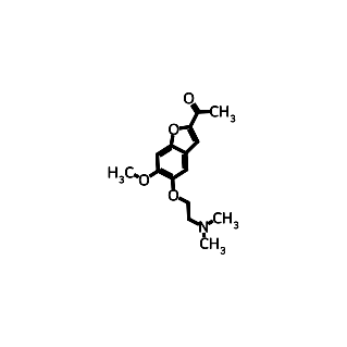 COc1cc2oc(C(C)=O)cc2cc1OCCN(C)C